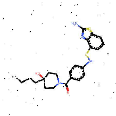 Nc1nc2c(SNc3ccc(C(=O)N4CCC(O)(CCCC(F)(F)F)CC4)cc3)cccc2s1